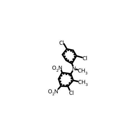 Cc1c(Cl)c([N+](=O)[O-])cc([N+](=O)[O-])c1N(C)c1ccc(Cl)cc1Cl